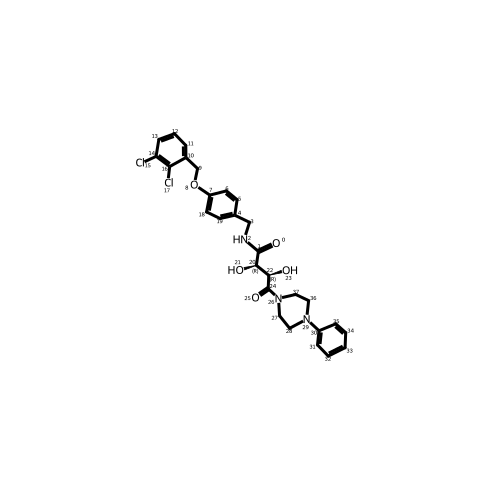 O=C(NCc1ccc(OCc2cccc(Cl)c2Cl)cc1)[C@H](O)[C@@H](O)C(=O)N1CCN(c2ccccc2)CC1